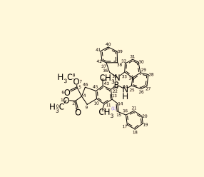 COC(=O)C1(C(=O)OC)Cc2c(C)c(/C=C/c3ccccc3)c(B3Nc4cccc5cccc(c45)N3Cc3ccccc3)c(C)c2C1